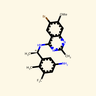 COc1cc2nc(C)nc(N[C@H](C)c3cc(N)cc(C(F)(F)F)c3C)c2cc1Br